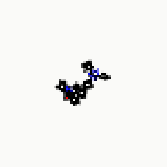 C1=CC(c2nc(-c3ccccc3)nc(-c3ccccc3)n2)CC=C1c1ccc2c(c1)C1(c3ccccc3-2)c2ccccc2-n2c3ccccc3c3cccc1c32